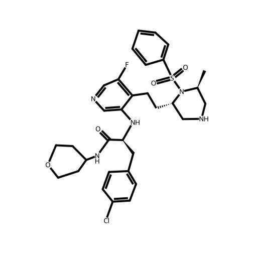 C[C@H]1CNC[C@H](CCc2c(F)cncc2N[C@@H](Cc2ccc(Cl)cc2)C(=O)NC2CCOCC2)N1S(=O)(=O)c1ccccc1